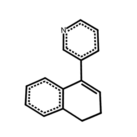 C1=C(c2cccnc2)c2ccccc2CC1